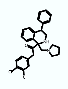 O=C(Cc1ccc(Cl)c(Cl)c1)C1(CN2CCCC2)NCC(c2ccccc2)c2ccccc21